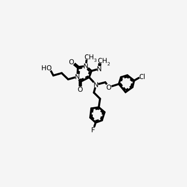 C=Nc1c(N(CCc2ccc(F)cc2)COc2ccc(Cl)cc2)c(=O)n(CCCO)c(=O)n1C